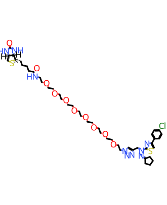 O=C(CCCC[C@@H]1SC[C@@H]2NC(=O)N[C@@H]21)NCCOCCOCCOCCOCCOCCOCCOCCOCCn1cc(CN(N=C2CCCC2)c2nc(-c3ccc(Cl)cc3)cs2)nn1